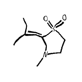 CC(C)=C1N(C)CCS1(=O)=O